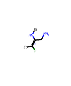 CCN/C(CN)=C(/F)CC